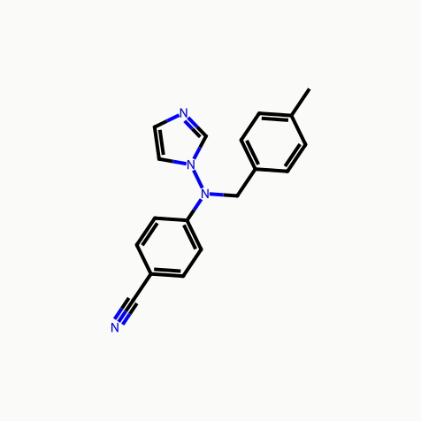 Cc1ccc(CN(c2ccc(C#N)cc2)n2ccnc2)cc1